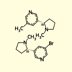 CN1CCC[C@H]1c1cncc(Br)c1.Cc1cncc([C@@H]2CCCN2C)c1